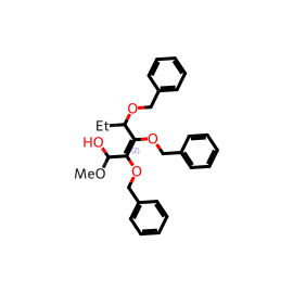 CCC(OCc1ccccc1)/C(OCc1ccccc1)=C(/OCc1ccccc1)C(O)OC